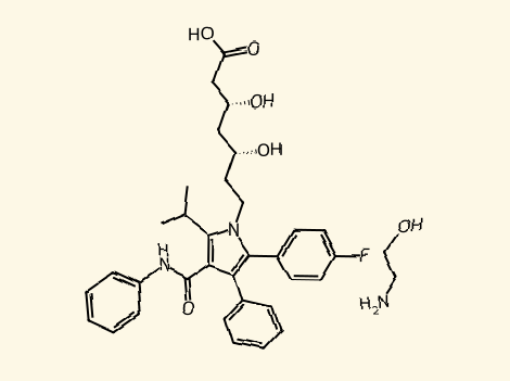 CC(C)c1c(C(=O)Nc2ccccc2)c(-c2ccccc2)c(-c2ccc(F)cc2)n1CC[C@@H](O)C[C@@H](O)CC(=O)O.NCCO